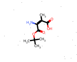 CC(C(=O)O)=C(N)C(=O)OC(C)(C)C